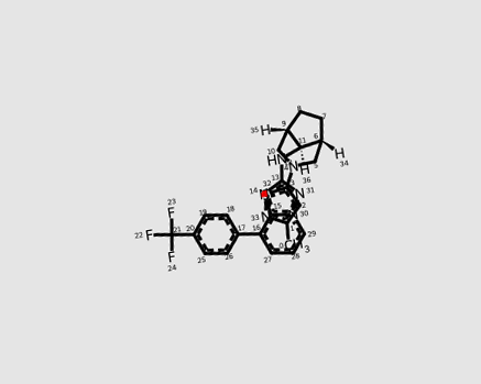 Cc1cc(N2C[C@H]3CC[C@@H](C2)[C@@H]3Nc2nc3c(-c4ccc(C(F)(F)F)cc4)cccn3n2)sn1